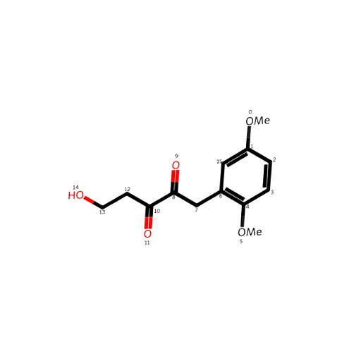 COc1ccc(OC)c(CC(=O)C(=O)CCO)c1